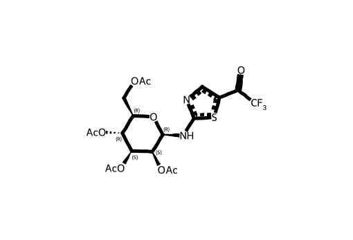 CC(=O)OC[C@H]1O[C@@H](Nc2ncc(C(=O)C(F)(F)F)s2)[C@@H](OC(C)=O)[C@@H](OC(C)=O)[C@@H]1OC(C)=O